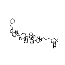 CC1(C)C[C@H](CCCn2ccc(S(=O)(=O)NC(=O)c3ccc(-n4ccc(OCCC5CCCC5)n4)nc3Cl)n2)CN1